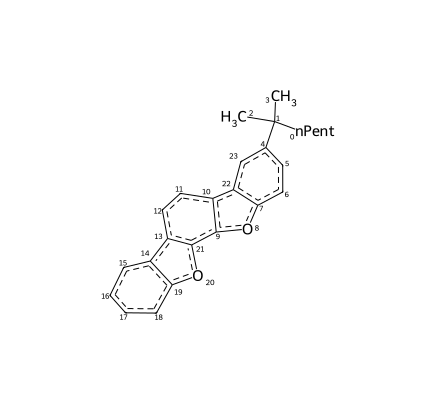 CCCCCC(C)(C)c1ccc2oc3c(ccc4c5ccccc5oc43)c2c1